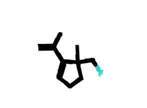 C=C(C)C1=CCCC1(C)CF